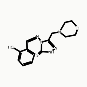 Oc1ccccc1/C=N\n1c(CN2CCOCC2)n[nH]c1=S